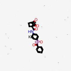 CC1(C)C2CCC1(C(=O)Nc1ccc([PH](=O)C(=O)c3ccccc3)cc1)C(=O)C2=O.[KH]